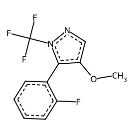 COc1cnn(C(F)(F)F)c1-c1ccccc1F